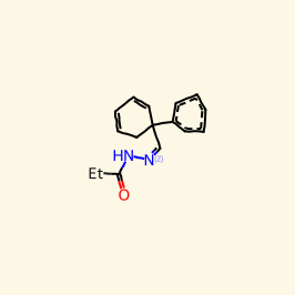 CCC(=O)N/N=C\C1(c2ccccc2)C=CC=CC1